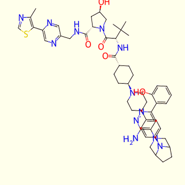 Cc1ncsc1-c1cnc(CNC(=O)[C@@H]2C[C@@H](O)CN2C(=O)[C@@H](NC(=O)[C@H]2CC[C@H](N3CCC(c4ccc(N5C6CCC5CN(c5cc(-c7ccccc7O)nnc5N)C6)cc4)CC3)CC2)C(C)(C)C)cn1